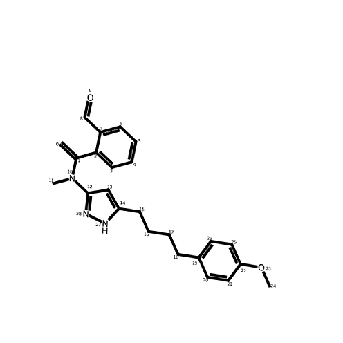 C=C(c1ccccc1C=O)N(C)c1cc(CCCCc2ccc(OC)cc2)[nH]n1